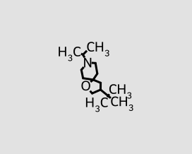 CC(C)N1CCC2(CC1)CC(C(C)(C)C)CO2